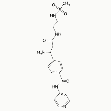 CS(=O)(=O)NCCNC(=O)CC(N)c1ccc(C(=O)Nc2ccncc2)cc1